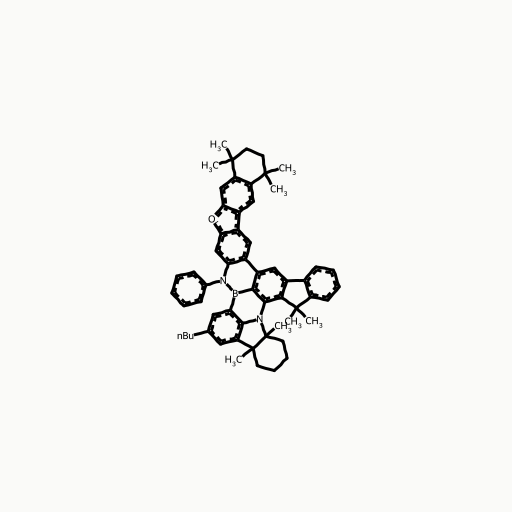 CCCCc1cc2c3c(c1)C1(C)CCCCC1(C)N3c1c3c(cc4c1C(C)(C)c1ccccc1-4)-c1cc4c(cc1N(c1ccccc1)B23)oc1cc2c(cc14)C(C)(C)CCC2(C)C